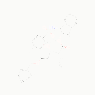 C=CC[C@@H](C(=O)O[C@H]1Cc2ccccc2[C@H]1NS(=O)(=O)c1ccc(C)cc1)[C@@H](O)CCOCc1ccccc1